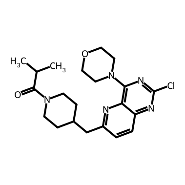 CC(C)C(=O)N1CCC(Cc2ccc3nc(Cl)nc(N4CCOCC4)c3n2)CC1